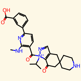 CNc1nc(-c2cccc(C(=O)O)c2)ccc1C(=O)[N+]1(C(C)C)N=CC2=C1C(=O)CC1(CCNCC1)C2